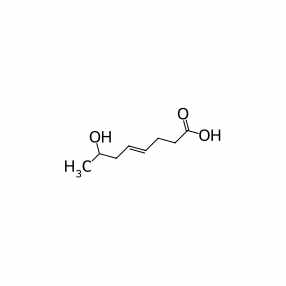 CC(O)C/C=C/CCC(=O)O